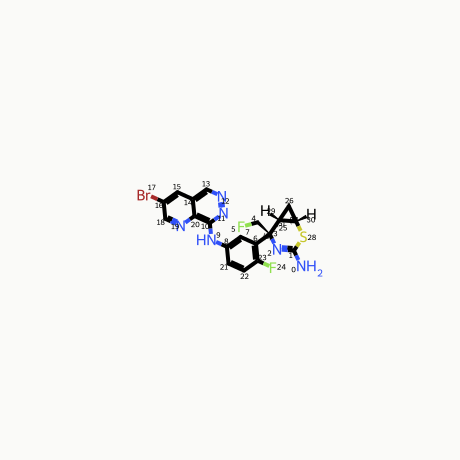 NC1=N[C@](CF)(c2cc(Nc3nncc4cc(Br)cnc34)ccc2F)[C@@H]2C[C@@H]2S1